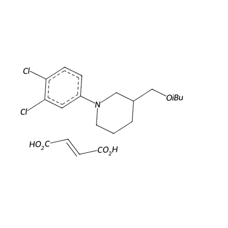 CC(C)COCC1CCCN(c2ccc(Cl)c(Cl)c2)C1.O=C(O)C=CC(=O)O